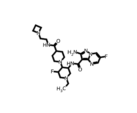 CCN1CC(F)C(N2CCC(C(=O)NCCN3CCC3)CC2)C(NC(=O)c2c(N)nn3cc(F)cnc23)C1